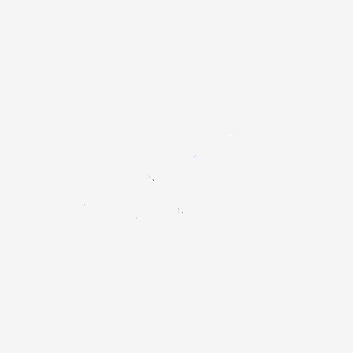 C=C(Cl)c1nc(/C=C/c2ccc(C)o2)nc(C(Cl)(Cl)Cl)n1